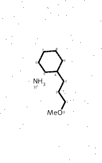 COCCCC1CCCCC1.N